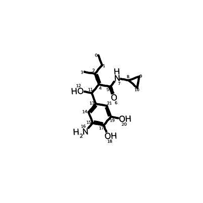 CC/C(C)=C(\C(=O)NC1CC1)C(O)c1cc(N)c(O)c(O)c1